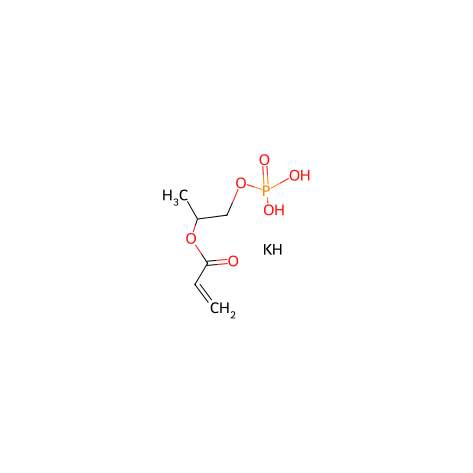 C=CC(=O)OC(C)COP(=O)(O)O.[KH]